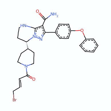 NC(=O)c1c(-c2ccc(Oc3ccccc3)cc2)nn2c1NCC[C@H]2C1CCN(C(=O)/C=C/CBr)CC1